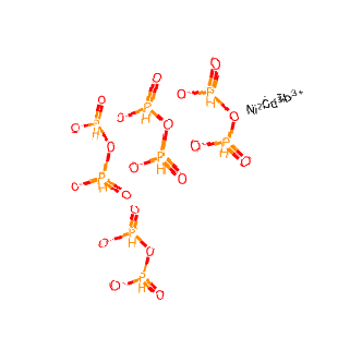 O=[PH]([O-])O[PH](=O)[O-].O=[PH]([O-])O[PH](=O)[O-].O=[PH]([O-])O[PH](=O)[O-].O=[PH]([O-])O[PH](=O)[O-].[Gd+3].[Ni+2].[Tb+3]